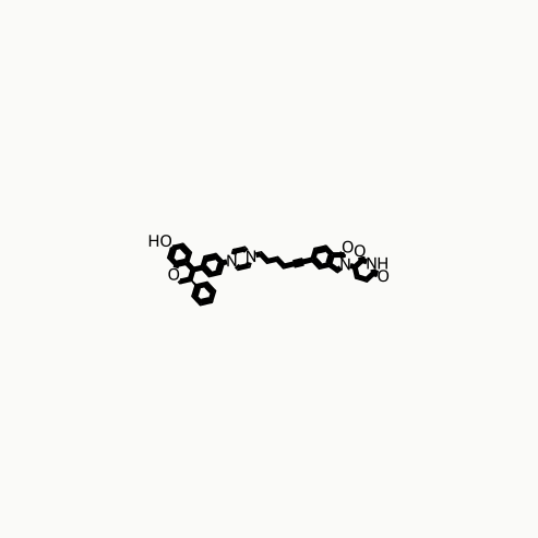 O=C1CCC(N2Cc3cc(C#CCCCCN4CCN(c5ccc(C6c7ccc(O)cc7OC[C@@H]6c6ccccc6)cc5)CC4)ccc3C2=O)C(=O)N1